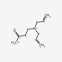 C=CCN(CC=C)CCC(C)=O